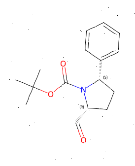 CC(C)(C)OC(=O)N1[C@@H](C=O)CC[C@H]1c1ccccc1